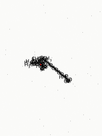 CC(C)C[C@H](NC(=O)[C@H](CC(=O)NC(c1ccccc1)(c1ccccc1)c1ccccc1)NC(=O)[C@H](C)NC(=O)[C@H](C)NC(=O)CCOCCOCCOCCOCCOCCOCCNC(=O)CCN1C(=O)C=CC1=O)C(=O)OC(C)(C)C